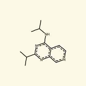 CC(C)Nc1nc(C(C)C)nc2cnccc12